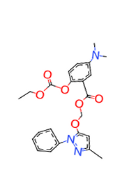 CCOC(=O)Oc1ccc(N(C)C)cc1C(=O)OCOc1cc(C)nn1-c1ccccc1